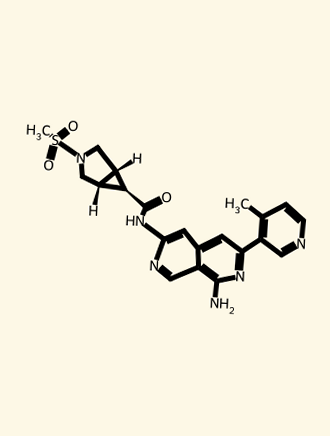 Cc1ccncc1-c1cc2cc(NC(=O)[C@H]3[C@@H]4CN(S(C)(=O)=O)C[C@@H]43)ncc2c(N)n1